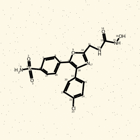 NS(=O)(=O)c1ccc(-c2oc(CNC(=O)NO)nc2-c2ccc(Cl)cc2)cc1